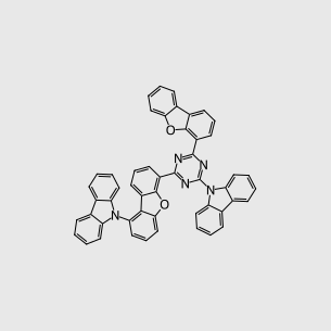 c1ccc2c(c1)oc1c(-c3nc(-c4cccc5c4oc4cccc(-n6c7ccccc7c7ccccc76)c45)nc(-n4c5ccccc5c5ccccc54)n3)cccc12